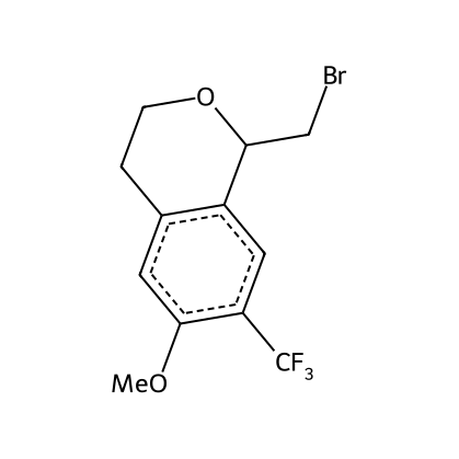 COc1cc2c(cc1C(F)(F)F)C(CBr)OCC2